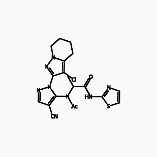 CC(=O)N(c1c(C#N)cnn1-c1nn2c(c1Cl)CCCC2)C(C)C(=O)Nc1nccs1